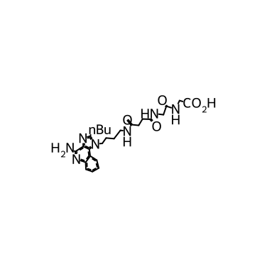 CCCCc1nc2c(N)nc3ccccc3c2n1CCCCNC(=O)CCC(=O)NCC(=O)NCC(=O)O